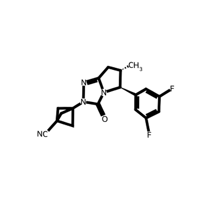 C[C@H]1Cc2nn(C34CC(C#N)(C3)C4)c(=O)n2[C@@H]1c1cc(F)cc(F)c1